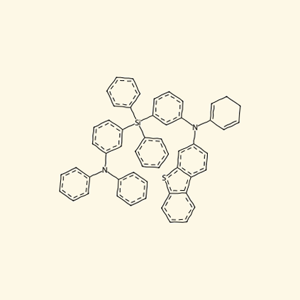 C1=CC(N(c2cccc([Si](c3ccccc3)(c3ccccc3)c3cccc(N(c4ccccc4)c4ccccc4)c3)c2)c2ccc3c(c2)sc2ccccc23)=CCC1